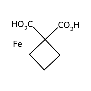 O=C(O)C1(C(=O)O)CCC1.[Fe]